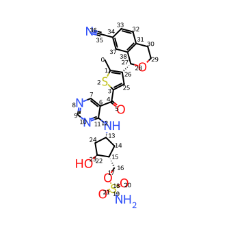 Cc1sc(C(=O)c2cncnc2N[C@@H]2C[C@H](COS(N)(=O)=O)[C@@H](O)C2)cc1[C@H]1OCCc2ccc(C#N)cc21